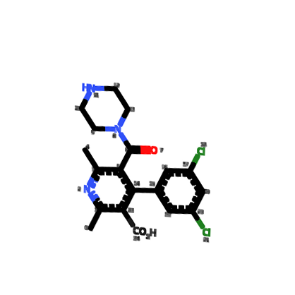 Cc1nc(C)c(C(=O)N2CCNCC2)c(-c2cc(Cl)cc(Cl)c2)c1C(=O)O